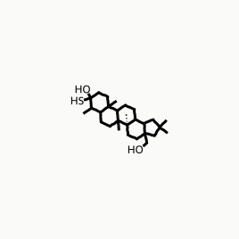 CC1C2CCC3(C)C(CCC4C5CC(C)(C)CC5(CO)CC[C@]43C)C2(C)CCC1(O)S